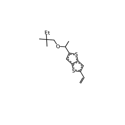 C=Cc1cc2sc(C(C)OCC(C)(C)CC)cc2s1